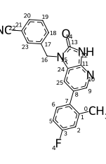 Cc1cc(F)ccc1-c1cnc2[nH]c(=O)n(Cc3cccc(C#N)c3)c2c1